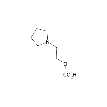 O=C(O)OCCN1CCCC1